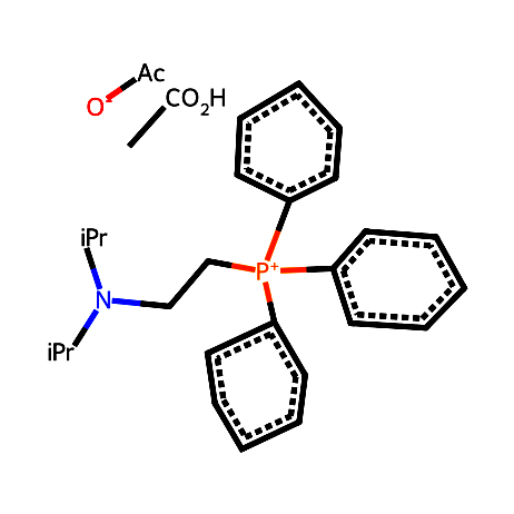 CC(=O)O.CC(=O)[O-].CC(C)N(CC[P+](c1ccccc1)(c1ccccc1)c1ccccc1)C(C)C